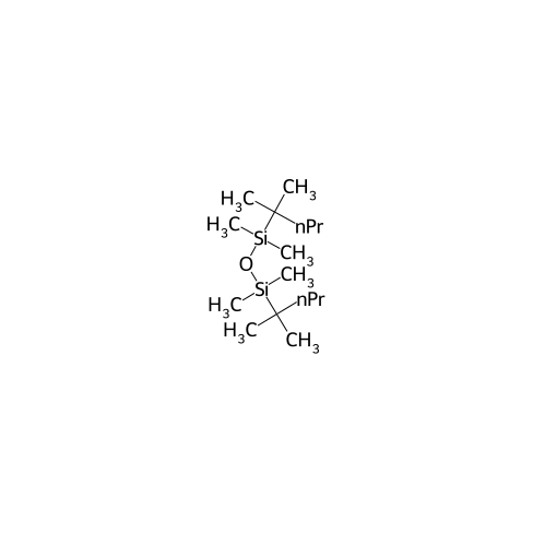 CCCC(C)(C)[Si](C)(C)O[Si](C)(C)C(C)(C)CCC